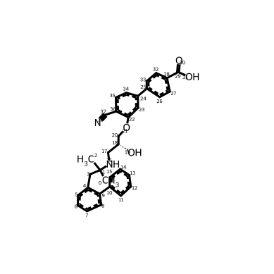 CC(C)(Cc1ccccc1-c1ccccc1)NC[C@@H](O)COc1cc(-c2ccc(C(=O)O)cc2)ccc1C#N